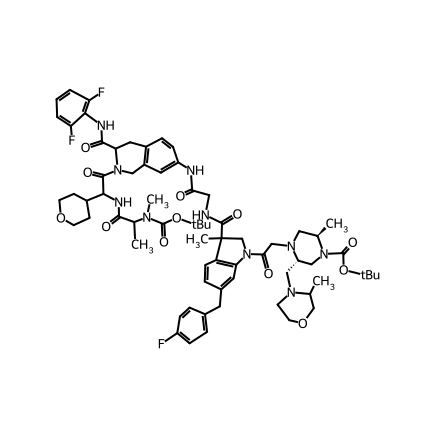 CC1COCCN1C[C@H]1CN(C(=O)OC(C)(C)C)[C@H](C)CN1CC(=O)N1CC(C)(C(=O)NCC(=O)Nc2ccc3c(c2)CN(C(=O)C(NC(=O)C(C)N(C)C(=O)OC(C)(C)C)C2CCOCC2)C(C(=O)Nc2c(F)cccc2F)C3)c2ccc(Cc3ccc(F)cc3)cc21